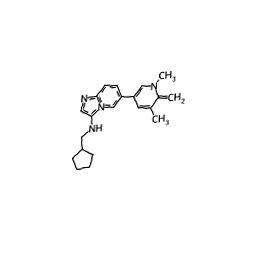 C=C1C(C)=CC(c2ccc3ncc(NCC4CCCC4)n3c2)=CN1C